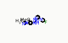 COc1cc(Nc2nc3c(N4CCC(F)CC4)cccn3n2)ccc1-n1cnc(C)c1